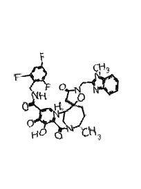 C[C@H]1CC[C@]2(CC(=O)N(Cc3nc4ccccc4n3C)O2)[C@H]2CN1C(=O)c1c(O)c(=O)c(C(=O)NCc3c(F)cc(F)cc3F)cn12